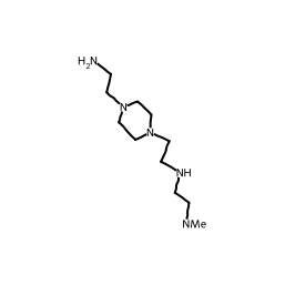 CNCCNCCN1CCN(CCN)CC1